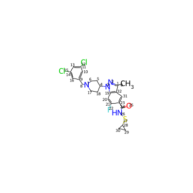 Cc1nn(C2CCN(Cc3cc(Cl)cc(Cl)c3)CC2)c2cc(F)c(C(=O)NSC3CC3)cc12